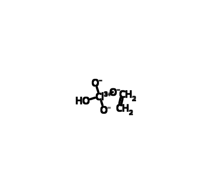 C=C.[O-][Cl+3]([O-])([O-])O